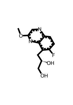 COc1cnc2ccc(F)c(C[C@H](O)CO)c2n1